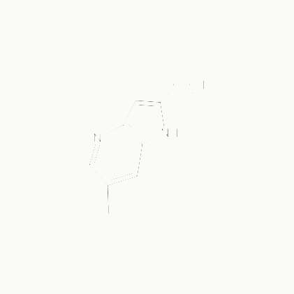 O=C(O)c1cc2ncc(I)cc2[nH]1